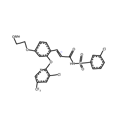 COCCOc1ccc(/C=C/C(=O)NS(=O)(=O)c2cccc(Cl)c2)c(Oc2ncc(C(F)(F)F)cc2Cl)c1